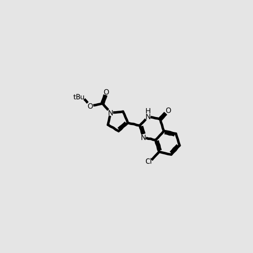 CC(C)(C)OC(=O)N1CC=C(c2nc3c(Cl)cccc3c(=O)[nH]2)C1